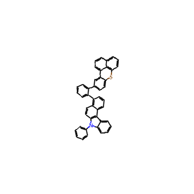 c1ccc(-n2c3ccccc3c3c4cccc(-c5ccccc5-c5ccc6c(c5)-c5cccc7cccc(c57)S6)c4ccc32)cc1